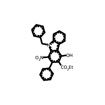 CCOC(=O)c1c(-c2ccccc2)c([N+](=O)[O-])c2c(c1O)c1ccccc1n2Cc1ccccc1